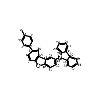 Cc1ccc(-c2ccc3oc4ccc(-n5c6ccccc6c6ccccc65)cc4c3c2)cc1